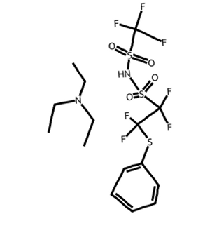 CCN(CC)CC.O=S(=O)(NS(=O)(=O)C(F)(F)C(F)(F)Sc1ccccc1)C(F)(F)F